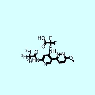 O=C(O)C(F)(F)F.[2H]C([2H])([2H])C(=O)Nc1cc(N)c(-c2ccc(OC)nn2)cn1